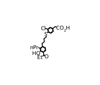 CCCc1c(CCCCSc2ccc(CC(=O)O)cc2Cl)ccc(C(=O)CC)c1O